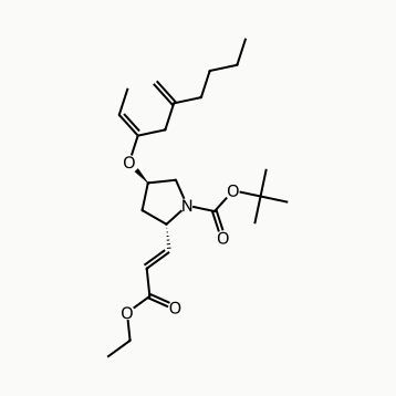 C=C(CCCC)C/C(=C\C)O[C@@H]1C[C@@H](/C=C/C(=O)OCC)N(C(=O)OC(C)(C)C)C1